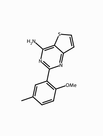 COc1ccc(C)cc1-c1nc(N)c2sccc2n1